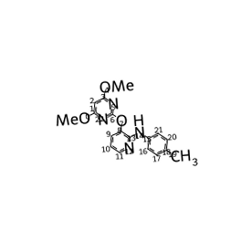 COc1cc(OC)nc(Oc2cccnc2Nc2ccc(C)cc2)n1